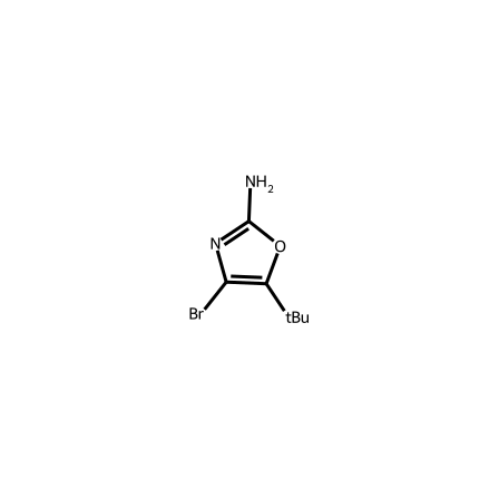 CC(C)(C)c1oc(N)nc1Br